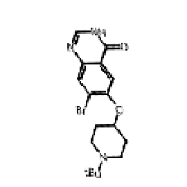 CC(C)(C)N1CCC(Oc2cc3c(=O)[nH]cnc3cc2Br)CC1